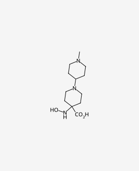 CN1CCC(N2CCC(NO)(C(=O)O)CC2)CC1